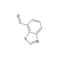 O=[C]c1cccc2ncsc12